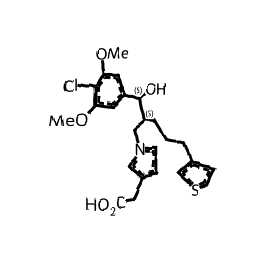 COc1cc([C@@H](O)[C@@H](CCCc2ccsc2)Cn2ccc(CC(=O)O)c2)cc(OC)c1Cl